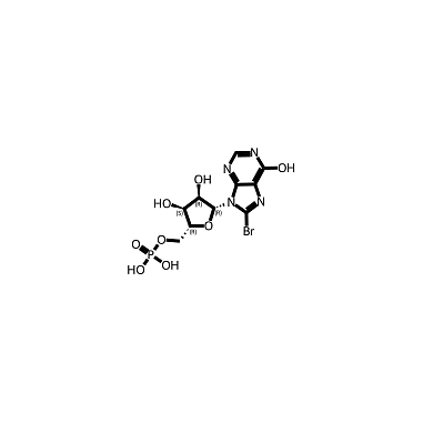 O=P(O)(O)OC[C@H]1O[C@@H](n2c(Br)nc3c(O)ncnc32)[C@H](O)[C@@H]1O